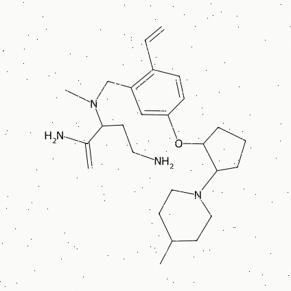 C=Cc1ccc(OC2CCCC2N2CCC(C)CC2)cc1CN(C)C(CCN)C(=C)N